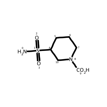 NS(=O)(=O)C1CCCN(C(=O)O)C1